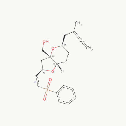 C=C=C(C)C[C@H]1CC[C@@H]2O[C@@H](/C=C\S(=O)(=O)c3ccccc3)C[C@]2(CO)O1